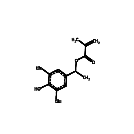 C=C(C)C(=O)OC(C)c1cc(C(C)(C)C)c(O)c(C(C)(C)C)c1